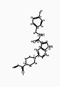 C=CC(=O)N1CCN(c2cnc3[nH]cc(C(=O)NCc4ccc(F)cc4)c3n2)CC1